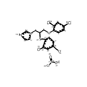 Clc1ccc(OCC(Cn2ccnc2)Sc2ccc(Cl)cc2Cl)c(Cl)c1.O=[N+]([O-])O